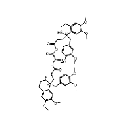 COc1ccc(C[C@@]2(CCC(=O)OC(=O)C(=O)OC(=O)CC[C@]3(Cc4ccc(OC)c(OC)c4)NCCc4cc(OC)c(OC)cc43)NCCc3cc(OC)c(OC)cc32)cc1OC